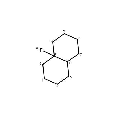 FC12CCCCC1CCCC2